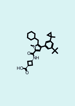 Cn1c(C(=O)N[C@H]2C[C@H](C(=O)O)C2)cc(-c2cc(C(C)(C)C)cc(C3(C)CC3)c2)c1CC1CCCCC1